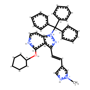 Cn1cc(C=Cc2nn(C(c3ccccc3)(c3ccccc3)c3ccccc3)c3ccnc(OC4CCCCC4)c23)cn1